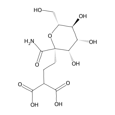 NC(=O)[C@@]1(CCC(C(=O)O)C(=O)O)O[C@H](CO)[C@@H](O)[C@H](O)[C@@H]1O